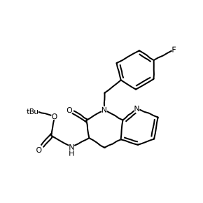 CC(C)(C)OC(=O)NC1Cc2cccnc2N(Cc2ccc(F)cc2)C1=O